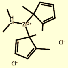 CC1=CC=C[C]1(C)[Zr+2]([SiH](C)C)[C]1(C)C=CC=C1C.[Cl-].[Cl-]